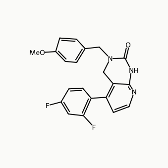 COc1ccc(CN2Cc3c(-c4ccc(F)cc4F)ccnc3NC2=O)cc1